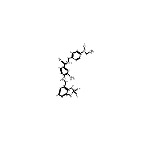 CC[S+]([O-])c1ccc(CNC(=O)c2ccc(NCc3cccc4c3OC(F)(F)O4)c(N)c2)cc1